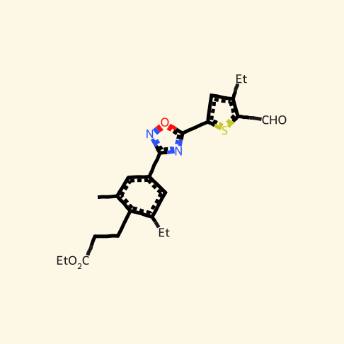 CCOC(=O)CCc1c(C)cc(-c2noc(-c3cc(CC)c(C=O)s3)n2)cc1CC